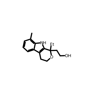 CCC1(CCO)OCCc2c1[nH]c1c(C)cccc21